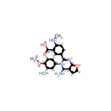 CNc1ccc(C2=Nc3occc3C(N)N2c2ccc(OC)cc2)cc1C(=O)O.Cl